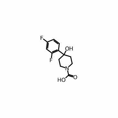 O=C(O)N1CCC(O)(c2ccc(F)cc2F)CC1